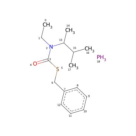 CCN(C(=O)SCc1ccccc1)C(C)C(C)C.P